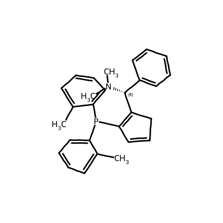 Cc1ccccc1P(C1=C([C@@H](c2ccccc2)N(C)C)CC=C1)c1ccccc1C